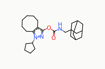 O=C(NCC12CC3CC(CC(C3)C1)C2)Oc1nn(C2CCCC2)c2c1CCCCCC2